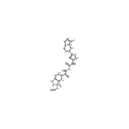 Cn1ncc2ccc(-c3csc(NC(=O)CNC(=O)c4ccc5c(c4)[C@](C)(CO)CC5)n3)cc21